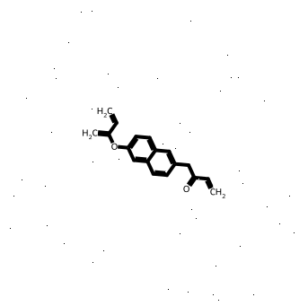 C=CC(=C)Oc1ccc2cc(CC(=O)C=C)ccc2c1